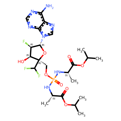 CC(C)OC(=O)[C@H](C)NP(=O)(N[C@@H](C)C(=O)OC(C)C)OC[C@@]1(C(F)F)O[C@@H](n2cnc3c(N)ncnc32)[C@H](F)[C@@H]1O